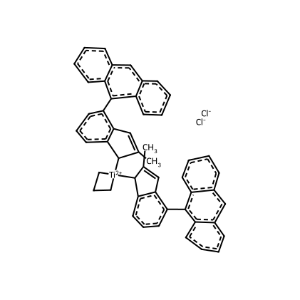 CC1=Cc2c(-c3c4ccccc4cc4ccccc34)cccc2[CH]1[Ti+2]1([CH]2C(C)=Cc3c(-c4c5ccccc5cc5ccccc45)cccc32)[CH2]C[CH2]1.[Cl-].[Cl-]